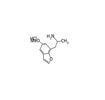 COc1cc(CC(C)N)c2occc2c1.Cl